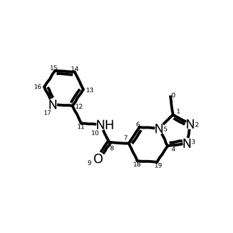 Cc1nnc2n1C=C(C(=O)NCc1ccccn1)CC2